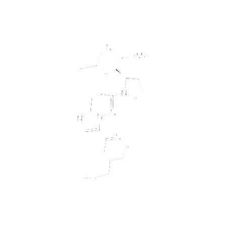 COc1ncc(F)cc1[C@H]1CCCN1c1ccc2ncc(-c3cc(CO)ccn3)n2n1